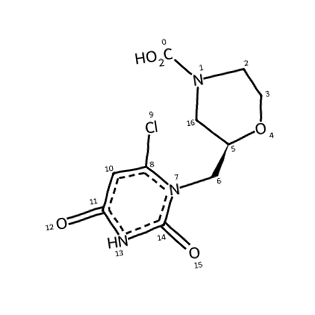 O=C(O)N1CCO[C@@H](Cn2c(Cl)cc(=O)[nH]c2=O)C1